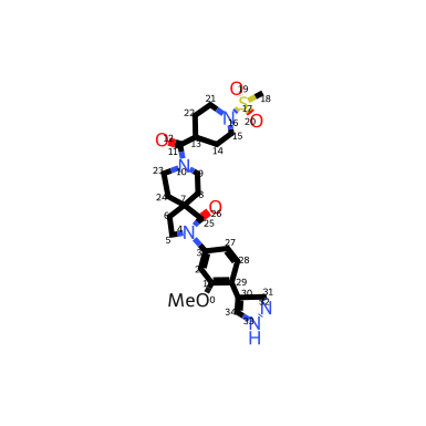 COc1cc(N2CCC3(CCN(C(=O)C4CCN(S(C)(=O)=O)CC4)CC3)C2=O)ccc1-c1cn[nH]c1